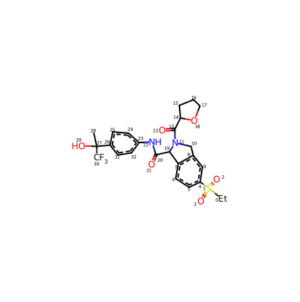 CCS(=O)(=O)c1ccc2c(c1)CN(C(=O)C1CCCO1)C2C(=O)Nc1ccc(C(C)(O)C(F)(F)F)cc1